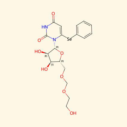 O=c1cc([Se]c2ccccc2)n([C@@H]2O[C@H](COCOCCO)[C@@H](O)[C@H]2O)c(=O)[nH]1